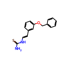 NC(=S)NC=Cc1cccc(OCc2ccccc2)c1